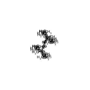 CCCCC(CCCOC(=O)CCC(=O)OCCCC(CCCC)(C(=O)OC1CC(C)(C)N(O)C(C)(C)C1)C(=O)OC1CC(C)(C)N(O)C(C)(C)C1)(COC1CC(C)(C)N(O)C(C)(C)C1)C(=O)OC1CC(C)(C)N(O)C(C)(C)C1